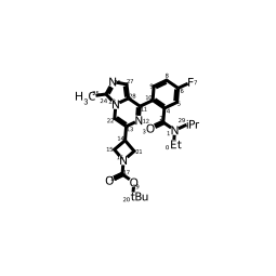 CCN(C(=O)c1cc(F)ccc1-c1nc(C2CN(C(=O)OC(C)(C)C)C2)cn2c(C)ncc12)C(C)C